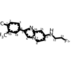 Cc1ccc(-c2cn3ccc(NCCF)cc3n2)cc1C